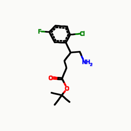 CC(C)(C)OC(=O)CCC(CN)c1cc(F)ccc1Cl